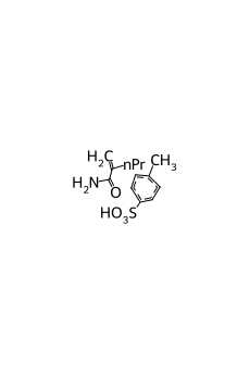 C=C(CCC)C(N)=O.Cc1ccc(S(=O)(=O)O)cc1